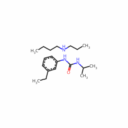 CCCCNCCC.CCc1cccc(NC(=O)NC(C)C)c1